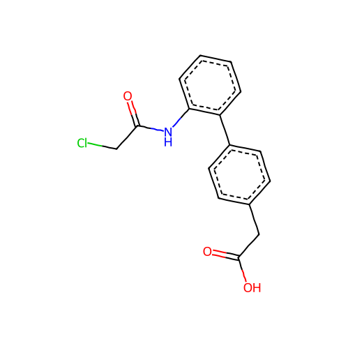 O=C(O)Cc1ccc(-c2ccccc2NC(=O)CCl)cc1